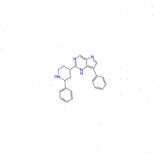 c1ccc(-c2cnc3cnc(C4CCNC(c5ccccc5)C4)[nH]c2-3)cc1